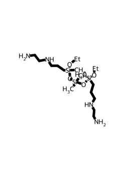 CCO[Si](C)(CCCNCCN)O[Si](C)(C)O[Si](C)(CCCNCCN)OCC